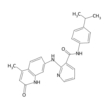 Cc1cc(=O)[nH]c2cc(Nc3ncccc3C(=O)Nc3ccc(C(C)C)cc3)ccc12